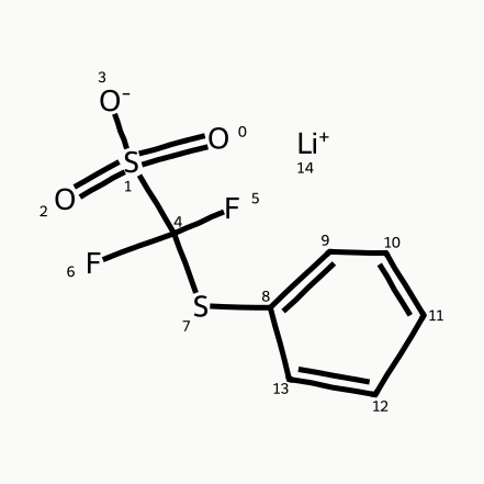 O=S(=O)([O-])C(F)(F)Sc1ccccc1.[Li+]